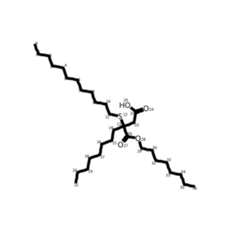 CCCCCCCCCCCCSC(CCCCCCCC)(CC(=O)O)C(=O)OCCCCCCCC